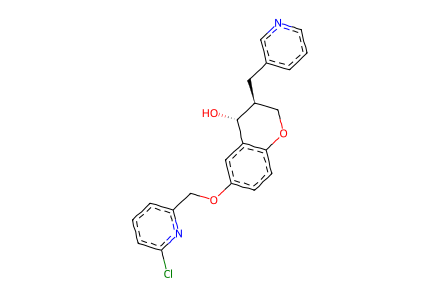 O[C@H]1c2cc(OCc3cccc(Cl)n3)ccc2OC[C@@H]1Cc1cccnc1